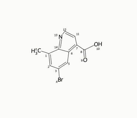 Cc1cc(Br)cc2c(C(=O)O)ccnc12